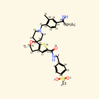 CCS(=O)(=O)c1ccc(CNC(=O)c2cc3c(s2)C2(CCN(Cc4ccc(C(=N)NC(C)=O)cc4C)CC2)O[C@@H](C)C3)cc1